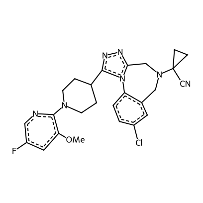 COc1cc(F)cnc1N1CCC(c2nnc3n2-c2ccc(Cl)cc2CN(C2(C#N)CC2)C3)CC1